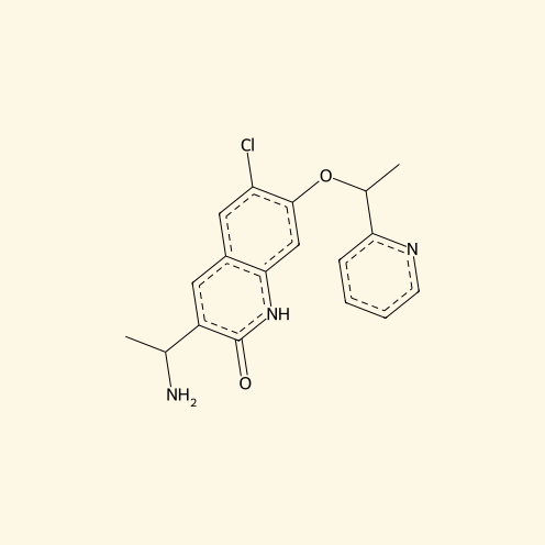 CC(N)c1cc2cc(Cl)c(OC(C)c3ccccn3)cc2[nH]c1=O